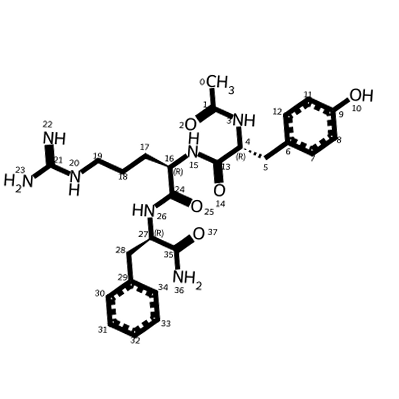 CC(=O)N[C@H](Cc1ccc(O)cc1)C(=O)N[C@H](CCCNC(=N)N)C(=O)N[C@H](Cc1ccccc1)C(N)=O